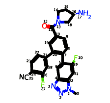 Cn1nnc2cc(-c3ccc(C(=O)N4CC[C@H](N)C4)cc3-c3ccc(C#N)c(F)c3)c(F)cc21